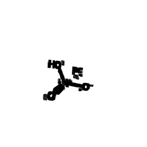 O=[N+]([O-])O.[P]